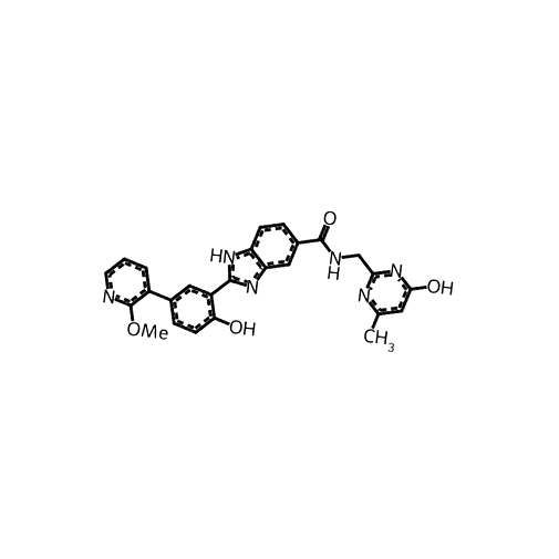 COc1ncccc1-c1ccc(O)c(-c2nc3cc(C(=O)NCc4nc(C)cc(O)n4)ccc3[nH]2)c1